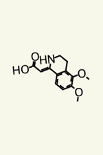 COc1ccc2c(c1OC)CCN/C2=C\C(=O)O